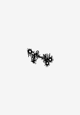 CC1(OC(=O)N[C@@H](Cc2ccccc2)C(=O)NCCCCN2C(=N)NC(c3ccccc3)(c3ccccc3)C2=O)CC1